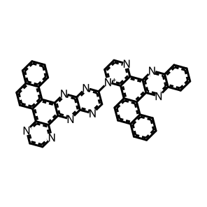 c1ccc2c(c1)ccc1c3nccnc3c3nc4ncc(-[n+]5ccnc6c7nc8ccccc8nc7c7c8ccccc8ccc7c65)nc4nc3c21